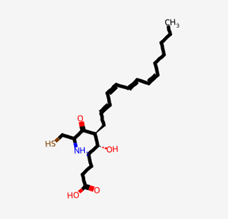 CCCCC\C=C/C=C/C=C\C=CC[C@H](C(=O)C(N)CS)[C@H](O)CCCC(=O)O